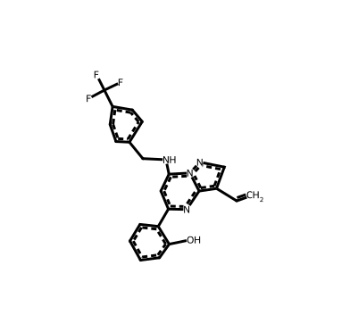 C=Cc1cnn2c(NCc3ccc(C(F)(F)F)cc3)cc(-c3ccccc3O)nc12